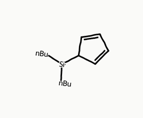 CCCC[Si](CCCC)C1C=CC=C1